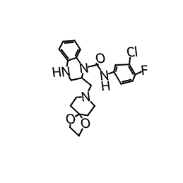 O=C(Nc1ccc(F)c(Cl)c1)N1c2ccccc2NCC1CN1CCC2(CC1)OCCO2